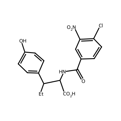 CCC(c1ccc(O)cc1)C(NC(=O)c1ccc(Cl)c([N+](=O)[O-])c1)C(=O)O